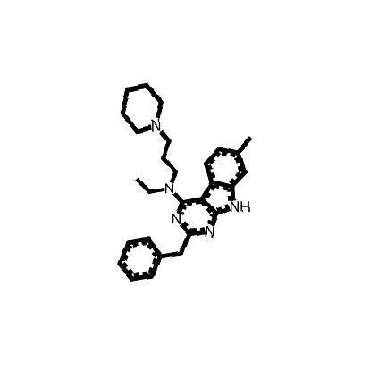 CCN(CCCN1CCCCC1)c1nc(Cc2ccccc2)nc2[nH]c3cc(C)ccc3c12